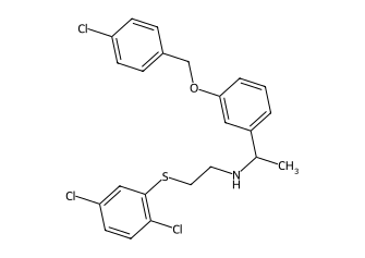 CC(NCCSc1cc(Cl)ccc1Cl)c1cccc(OCc2ccc(Cl)cc2)c1